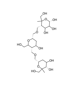 CC1(CO)O[C@H](COC[C@H]2C(O)C[C@@H](COC[C@H]3C(O)C(O)[C@@H](O)OC3(C)CO)OC2CO)CC(O)[C@@H]1O